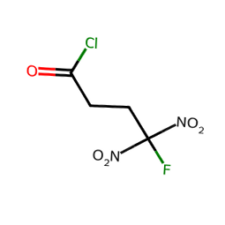 O=C(Cl)CCC(F)([N+](=O)[O-])[N+](=O)[O-]